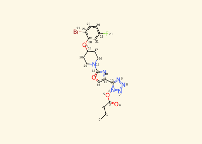 CCCC(=O)On1nnnc1-c1coc(N2CCC(Oc3cc(F)ccc3Br)CC2)n1